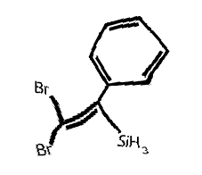 [SiH3]C(=C(Br)Br)c1ccccc1